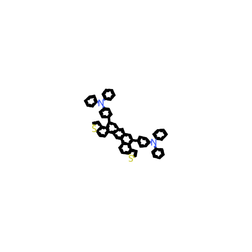 c1ccc(N(c2ccccc2)c2ccc(-c3cc4cc5cc(-c6ccc(N(c7ccccc7)c7ccccc7)cc6)c6c7ccsc7ccc6c5cc4c4ccc5sccc5c34)cc2)cc1